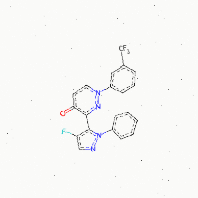 O=c1ccn(-c2cccc(C(F)(F)F)c2)nc1-c1c(F)cnn1-c1ccccc1